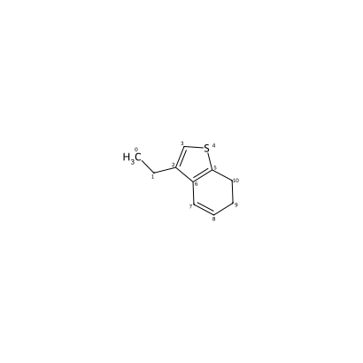 CCc1csc2c1C=CCC2